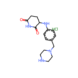 Cl.O=C1CCC(Nc2ccc(CN3CCNCC3)cc2)C(=O)N1